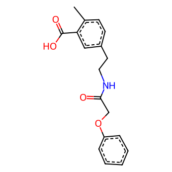 Cc1ccc(CCNC(=O)COc2ccccc2)cc1C(=O)O